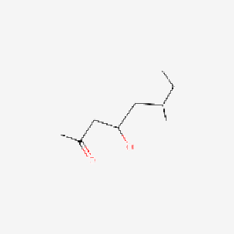 CCC(C)CC(O)CC(C)=O